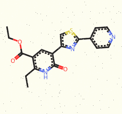 CCOC(=O)c1cc(-c2csc(-c3ccncc3)n2)c(=O)[nH]c1CC